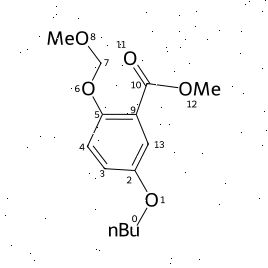 CCCCOc1ccc(OCOC)c(C(=O)OC)c1